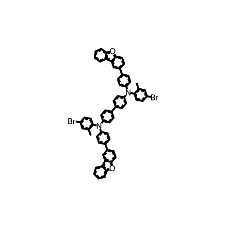 Cc1cc(Br)ccc1N(c1ccc(-c2ccc(N(c3ccc(-c4ccc5oc6ccccc6c5c4)cc3)c3ccc(Br)cc3C)cc2)cc1)c1ccc(-c2ccc3oc4ccccc4c3c2)cc1